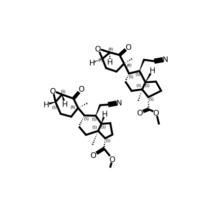 COC(=O)[C@H]1CC[C@H]2[C@H](CC#N)[C@@H]([C@@]3(C)CC[C@@H]4O[C@@H]4C3=O)CC[C@]12C.COC(=O)[C@H]1CC[C@H]2[C@H](CC#N)[C@@H]([C@@]3(C)CC[C@H]4O[C@H]4C3=O)CC[C@]12C